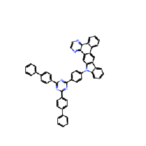 c1ccc(-c2ccc(-c3nc(-c4ccc(-c5ccccc5)cc4)nc(-c4ccc(-n5c6ccccc6c6cc7c8ccccc8c8nccnc8c7cc65)cc4)n3)cc2)cc1